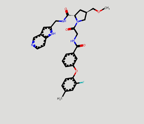 COC[C@@H]1C[C@@H](C(=O)NCc2cc3cnccc3[nH]2)N(C(=O)CNC(=O)c2cccc(Oc3ccc(C)cc3F)c2)C1